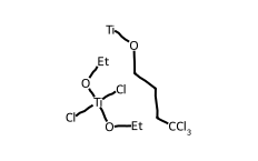 CC[O][Ti]([Cl])([Cl])[O]CC.ClC(Cl)(Cl)CCC[O][Ti]